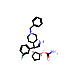 N=CC(c1cccc(F)c1)(C1CCN(Cc2ccccc2)CC1)[C@H]1CCC[C@@H]1OC(N)=O